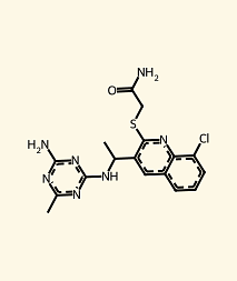 Cc1nc(N)nc(NC(C)c2cc3cccc(Cl)c3nc2SCC(N)=O)n1